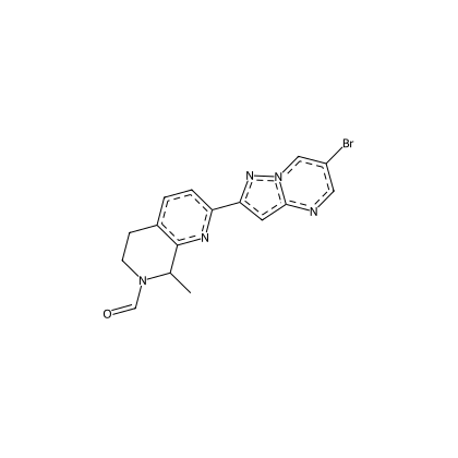 CC1c2nc(-c3cc4ncc(Br)cn4n3)ccc2CCN1C=O